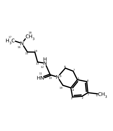 Cc1ccc2c(c1)CCN(C(=N)NCCCN(C)C)C2